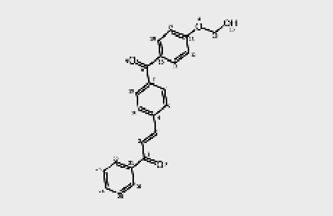 O=C(/C=C/c1ccc(C(=O)c2ccc(OCO)cc2)cc1)c1ccccc1